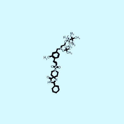 Cc1cc(CN(CCO[Si](C)(C)C(C)(C)C)OC(C)(C)C)ccc1/C=C/S(=O)(=O)N1CCC2(CC1)N=C(C1CCCCC1)NC2=O